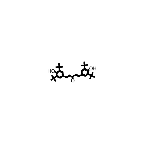 CC(C)(C)c1cc(C=CC(=O)C=Cc2cc(C(C)(C)C)c(O)c(C(C)(C)C)c2)cc(C(C)(C)C)c1O